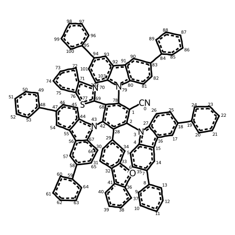 N#Cc1c(-n2c3ccc(-c4ccccc4)cc3c3cc(-c4ccccc4)ccc32)c(-c2ccc3c(c2)oc2ccccc23)c(-n2c3ccc(-c4ccccc4)cc3c3cc(-c4ccccc4)ccc32)c(-c2nc3ccccc3s2)c1-n1c2ccc(-c3ccccc3)cc2c2cc(-c3ccccc3)ccc21